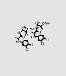 CCCC(NC(=O)[C@H](C)Nc1ccc(Cl)c(Cl)c1)C(=O)OC.CC[C@H](C)[C@H](NC(=O)[C@H](C)Nc1ccc(Cl)c(Cl)c1)C(=O)OC